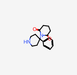 O=C1CCCC(=O)N1C1(c2ccccc2)CCNCC1